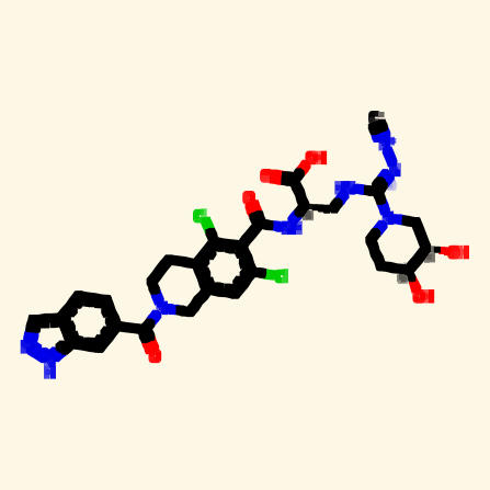 [C-]#[N+]/N=C(\NC[C@H](NC(=O)c1c(Cl)cc2c(c1Cl)CCN(C(=O)c1ccc3cn[nH]c3c1)C2)C(=O)O)N1CC[C@H](O)[C@@H](O)C1